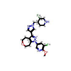 COc1ncc(-n2nc(-c3cnn(C[C@@H]4CCNC[C@@H]4F)c3)c3c2CCOCC3)cc1F